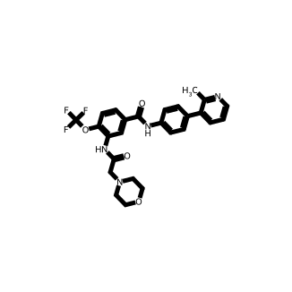 Cc1ncccc1-c1ccc(NC(=O)c2ccc(OC(F)(F)F)c(NC(=O)CN3CCOCC3)c2)cc1